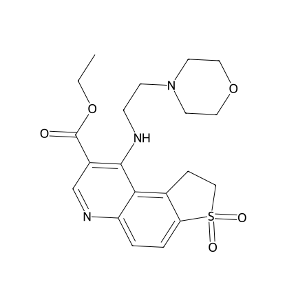 CCOC(=O)c1cnc2ccc3c(c2c1NCCN1CCOCC1)CCS3(=O)=O